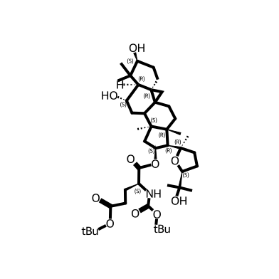 CC(C)(C)OC(=O)CC[C@H](NC(=O)OC(C)(C)C)C(=O)O[C@H]1C[C@@]2(C)C3C[C@H](O)[C@H]4C(C)(C)[C@@H](O)CC[C@@]45CC35CC[C@]2(C)[C@H]1[C@@]1(C)CC[C@@H](C(C)(C)O)O1